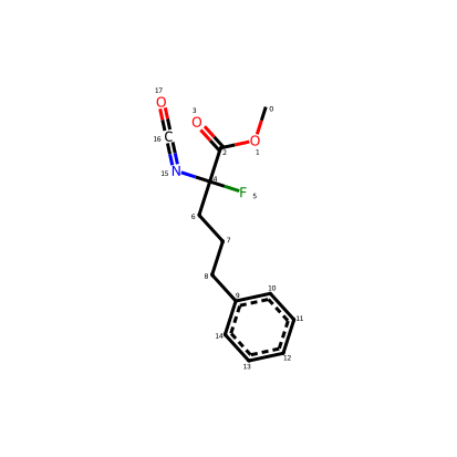 COC(=O)C(F)(CCCc1ccccc1)N=C=O